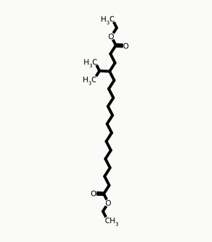 CCOC(=O)CCCCCCCCCCCCCC(CCC(=O)OCC)C(C)C